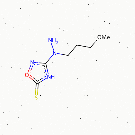 COCCCN(N)c1noc(=S)[nH]1